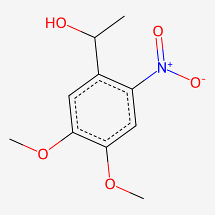 COc1cc(C(C)O)c([N+](=O)[O-])cc1OC